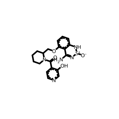 NC1=N[S+]([O-])Nc2cccc(OCC3CCCCN3C(=O)c3ccncc3O)c21